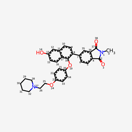 CN1C(=O)c2ccc(-c3ccc4cc(O)ccc4c3Oc3ccc(OCCN4CCCCC4)cc3)cc2C1=O